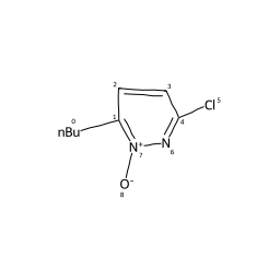 CCCCc1ccc(Cl)n[n+]1[O-]